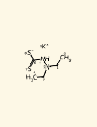 CCN(CC)NC(=S)[S-].[K+]